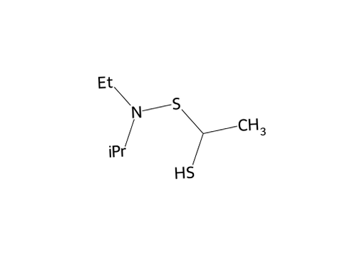 CCN(SC(C)S)C(C)C